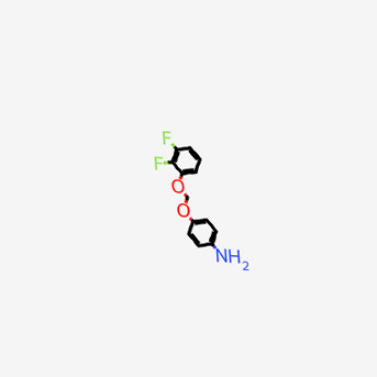 Nc1ccc(OCOc2cccc(F)c2F)cc1